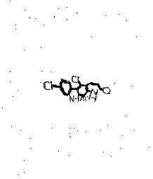 CC(=O)Nc1cc(Cl)ccc1-c1ccc2[nH]c(=O)ccc2c1Cl